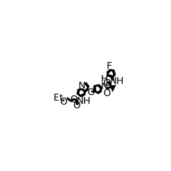 CCOCCOC(=O)Nc1ccc2nccc(Oc3ccc(NC(=O)C4(C(=O)Nc5ccc(F)cc5)CC4)cc3)c2c1